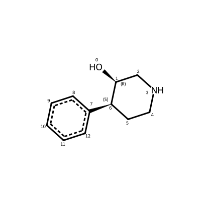 O[C@H]1CNCC[C@H]1c1ccccc1